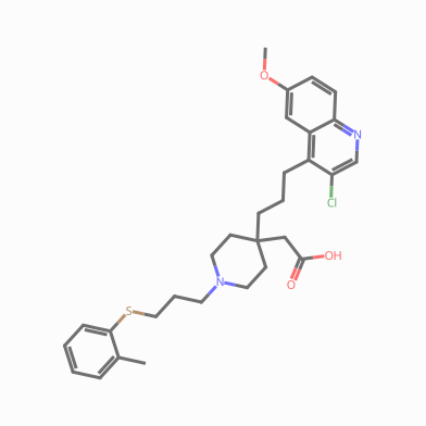 COc1ccc2ncc(Cl)c(CCCC3(CC(=O)O)CCN(CCCSc4ccccc4C)CC3)c2c1